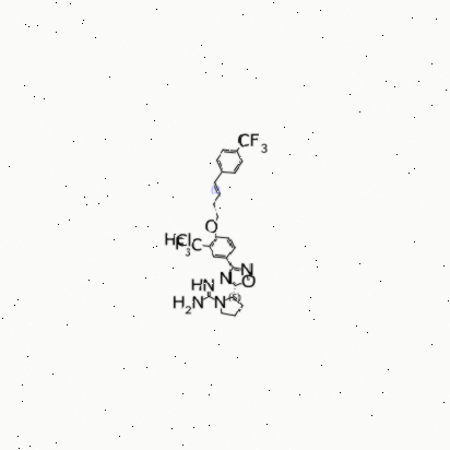 Cl.N=C(N)N1CCC[C@H]1c1nc(-c2ccc(OCC/C=C/c3ccc(C(F)(F)F)cc3)c(C(F)(F)F)c2)no1